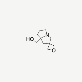 OCC12CCCN1CC1(COC1)C2